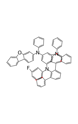 Fc1cccc(N(c2cc(N(c3ccccc3)c3ccccc3)cc(N(c3ccccc3)c3ccc4c(c3)oc3ccccc34)c2)c2c(-c3ccccc3)cccc2-c2ccccc2)c1